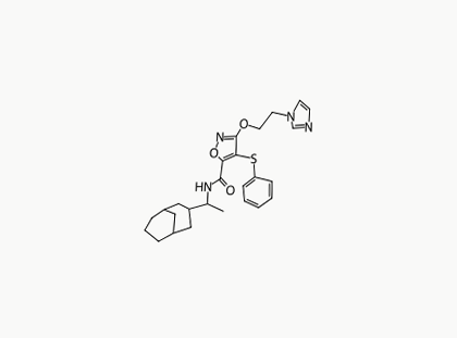 CC(NC(=O)c1onc(OCCn2ccnc2)c1Sc1ccccc1)C1CC2CCCC(C2)C1